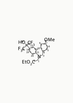 CCOC(=O)CN(Cc1ccc(OC)cc1)c1ccc(C(O)(C(F)(F)F)C(F)(F)F)cc1